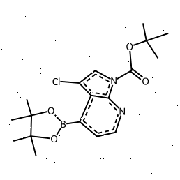 CC(C)(C)OC(=O)n1cc(Cl)c2c(B3OC(C)(C)C(C)(C)O3)ccnc21